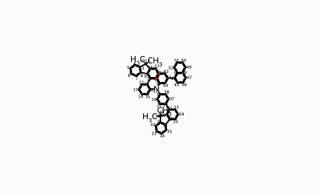 CC1(C)c2ccccc2-c2c(-c3ccccc3N(c3ccc(-c4cccc5c4C(C)(C)c4ccccc4-5)cc3)c3cccc(-c4cccc5ccccc45)c3)cccc21